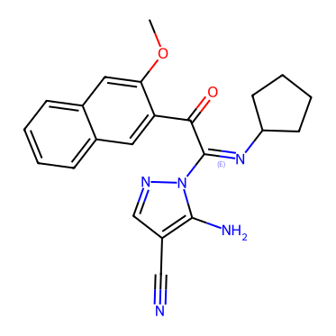 COc1cc2ccccc2cc1C(=O)/C(=N\C1CCCC1)n1ncc(C#N)c1N